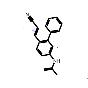 C=C(C)Nc1ccc(/C=C/C#N)c(-c2ccccc2)c1